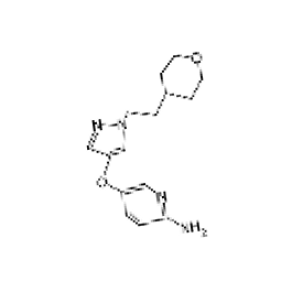 Nc1ccc(Oc2cnn(CCC3CCOCC3)c2)cn1